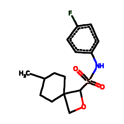 CC1CCC2(CC1)COC2S(=O)(=O)Nc1ccc(F)cc1